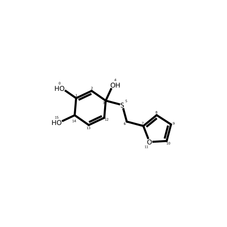 OC1=CC(O)(SCc2ccco2)C=CC1O